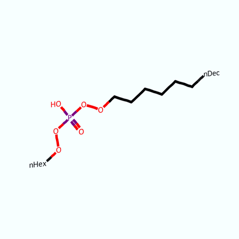 CCCCCCCCCCCCCCCCOOP(=O)(O)OOCCCCCC